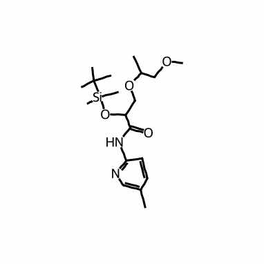 COCC(C)OCC(O[Si](C)(C)C(C)(C)C)C(=O)Nc1ccc(C)cn1